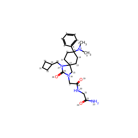 CN(C)C1(c2ccccc2)CCC2(CC1)CN(CC(=O)NCC(N)=O)C(=O)N2CC1CCC1